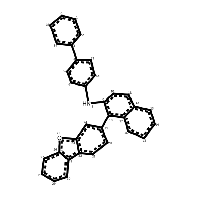 c1ccc(-c2ccc(Nc3ccc4ccccc4c3-c3ccc4c(c3)oc3ccccc34)cc2)cc1